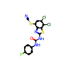 N#CSc1cc(Cl)c(Cl)c2sc(NC(=O)Nc3ccc(F)cc3)nc12